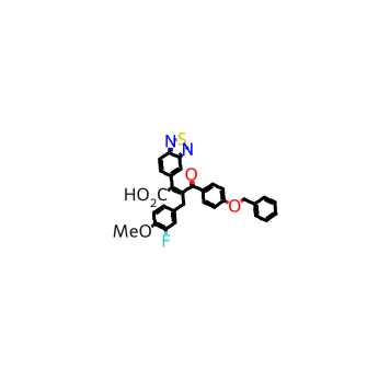 COc1ccc(CC(C(=O)c2ccc(OCc3ccccc3)cc2)=C(C(=O)O)c2ccc3nsnc3c2)cc1F